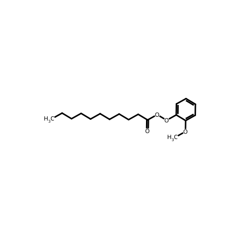 CCCCCCCCCCC(=O)OOc1ccccc1OC